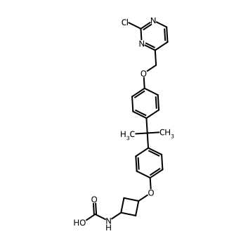 CC(C)(c1ccc(OCc2ccnc(Cl)n2)cc1)c1ccc(OC2CC(NC(=O)O)C2)cc1